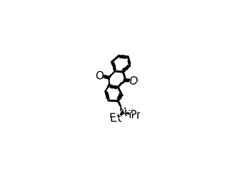 CCN(c1ccc2c(c1)C(=O)c1ccccc1C2=O)C(C)C